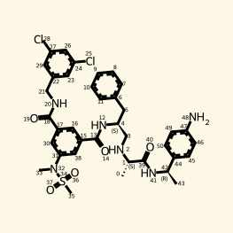 C[C@H](NC[C@H](Cc1ccccc1)NC(=O)c1cc(C(=O)NCc2cc(Cl)cc(Cl)c2)cc(N(C)S(C)(=O)=O)c1)C(=O)N[C@H](C)c1ccc(N)cc1